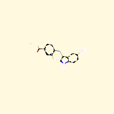 COC(=O)c1ccc(Cc2c[nH]c3ccc(N)cc23)c(OC)c1